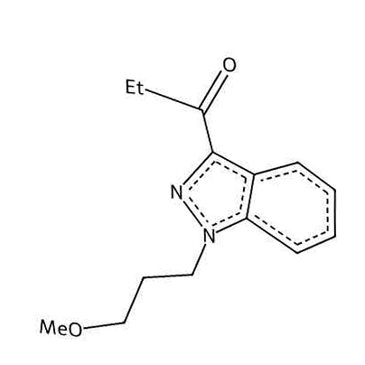 CCC(=O)c1nn(CCCOC)c2ccccc12